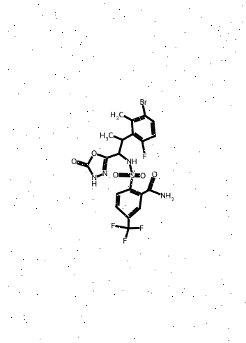 Cc1c(Br)ccc(F)c1C(C)C(NS(=O)(=O)c1ccc(C(F)(F)F)cc1C(N)=O)c1n[nH]c(=O)o1